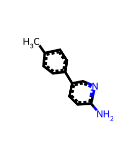 Cc1ccc(-c2ccc(N)nc2)cc1